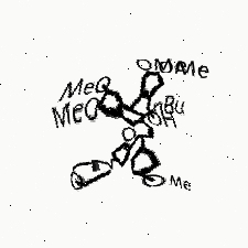 CCCCC1(O)c2cc(OC)c(OC)cc2-c2c1c1c(c3cc(OC)c(OC)cc23)OC(c2ccc(OC)cc2)(c2ccc(N3CCOCC3)cc2)C=C1